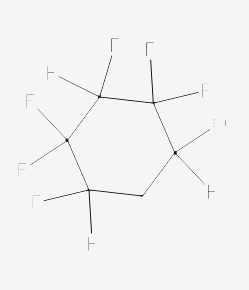 [O]C1(F)CC(F)(F)C(F)(F)C(F)(F)C1(F)F